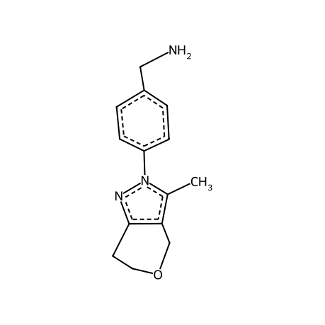 Cc1c2c(nn1-c1ccc(CN)cc1)CCOC2